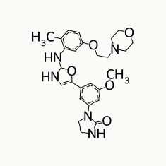 COc1cc(C2=CNC(Nc3cc(OCCN4CCOCC4)ccc3C)O2)cc(N2CCNC2=O)c1